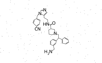 N#Cc1ccc(Cn2cncc2CCNC(=O)C2CCCN(CC(c3ccccc3)c3cccc(CN)c3)C2)cc1